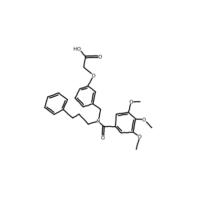 COc1cc(C(=O)N(CCCc2ccccc2)Cc2cccc(OCC(=O)O)c2)cc(OC)c1OC